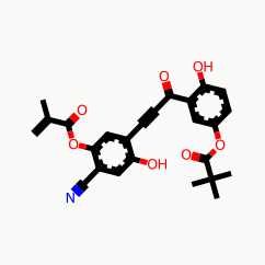 C=C(C)C(=O)Oc1cc(C#CC(=O)c2cc(OC(=O)C(C)(C)C)ccc2O)c(O)cc1C#N